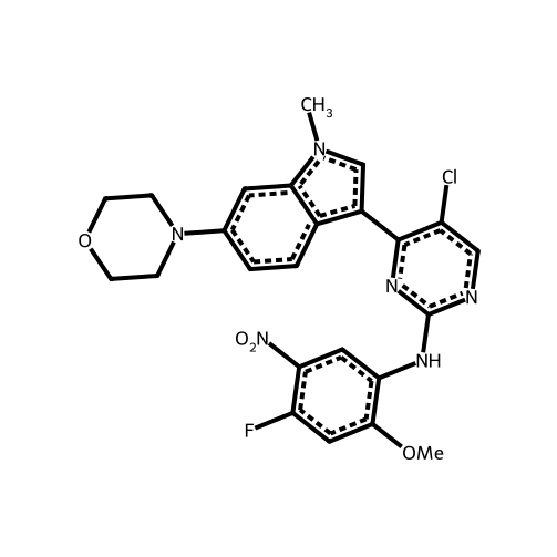 COc1cc(F)c([N+](=O)[O-])cc1Nc1ncc(Cl)c(-c2cn(C)c3cc(N4CCOCC4)ccc23)n1